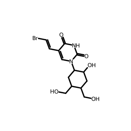 O=c1[nH]c(=O)n(C2CC(CO)C(CO)CC2O)cc1C=CBr